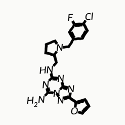 Nc1nc(NCC2CCCN2Cc2ccc(Cl)c(F)c2)nc2nc(-c3ccco3)nn12